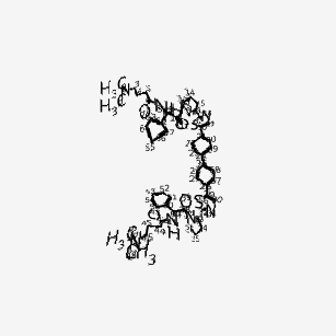 CN(C)CCCC(=O)N[C@@H](C(=O)N1CCC[C@H]1c1ncc(-c2ccc(-c3ccc(-c4cnc([C@@H]5CCCN5C(=O)[C@H](NC(=O)CCCN(C)C)c5ccccc5)s4)cc3)cc2)s1)c1ccccc1